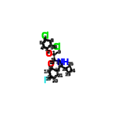 CC(Oc1ccc(Cl)cc1Cl)C(=O)NC(c1ccc(F)cc1)C1CCC1